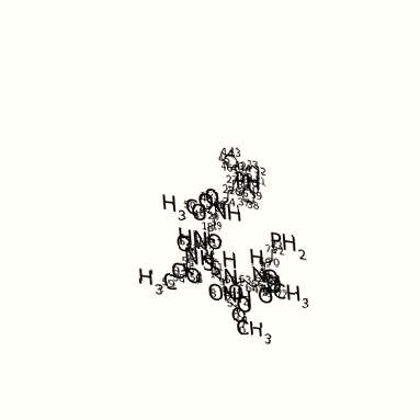 CCOC(=O)CNC(=O)C(CSSCC(NC(=O)CCC(NC(=O)CCCC[PH](c1ccccc1)(c1ccccc1)c1ccccc1)C(=O)OC)C(=O)NCC(=O)OCC)NC(=O)CCC(NC(=O)CCCCP)C(=O)OC